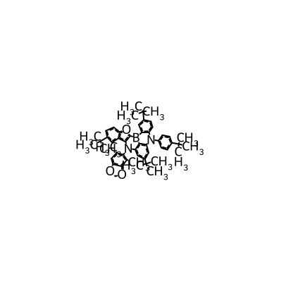 Cc1cc2c(c(C)c1N1c3cc(C(C)(C)C)cc4c3B(c3cc(C(C)(C)C)ccc3N4c3ccc(C(C)(C)C)cc3)c3oc4ccc(C(C)(C)C)cc4c31)OCO2